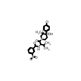 CC(C)[C@@H](NC(=O)c1cccc([N+](=O)[O-])c1)C(=O)N1CC[C@](O)(c2ccc(Cl)cc2)C(C)(C)C1